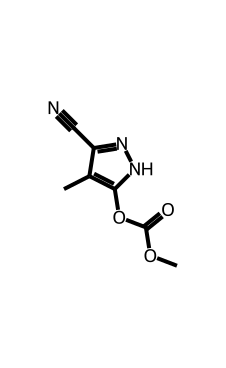 COC(=O)Oc1[nH]nc(C#N)c1C